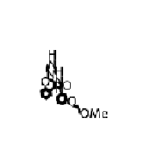 COCCCOc1cccc(-n2c(-c3ccccc3)c(C(=O)N3CCNCC3)[nH]c2=O)c1